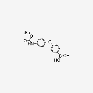 CC(C)(C)OC(=O)Nc1ccc(Oc2ccc(B(O)O)cc2)cc1